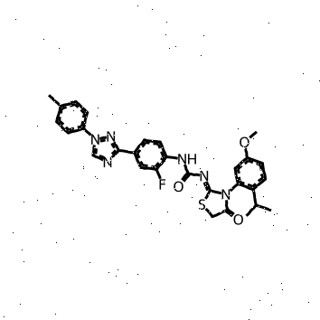 COc1ccc(C(C)C)c(N2C(=O)CS/C2=N\C(=O)Nc2ccc(-c3ncn(-c4ccc(C)cc4)n3)cc2F)c1